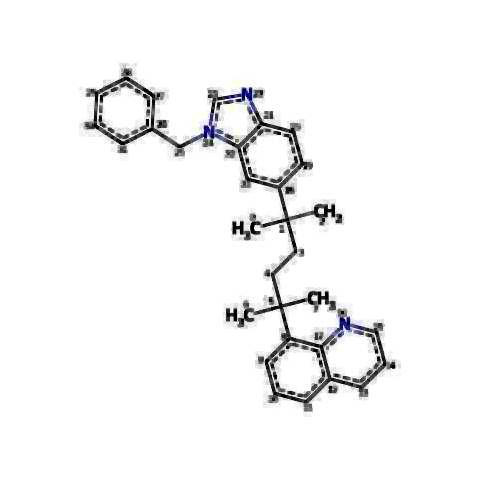 CC(C)(CCC(C)(C)c1cccc2cccnc12)c1ccc2ncn(Cc3ccccc3)c2c1